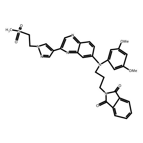 COc1cc(OC)cc(N(CCCN2C(=O)c3ccccc3C2=O)c2ccc3ncc(-c4cnn(CCS(C)(=O)=O)c4)nc3c2)c1